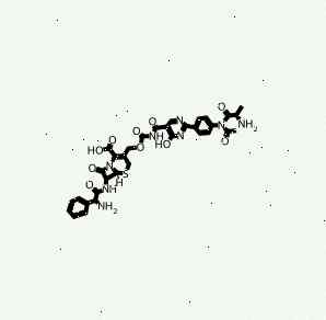 CC(=O)N(C(=O)C(C)N)c1ccc(-c2ncc(C(=O)NC(=O)OCC3=C(C(=O)O)N4C(=O)C(NC(=O)C(N)c5ccccc5)[C@@H]4SC3)c(O)n2)cc1